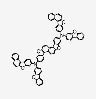 c1ccc2c(c1)ccc1oc3cc(N(c4ccc5c(c4)oc4ccccc45)c4ccc5c(c4)oc4ccc6c(ccc7oc8cc(N(c9ccc%10c(c9)oc9ccccc9%10)c9ccc%10c(c9)oc9ccc%11ccccc%11c9%10)ccc8c76)c45)ccc3c12